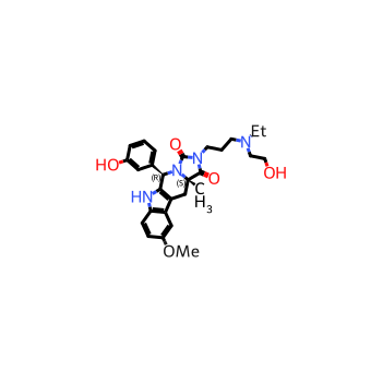 CCN(CCO)CCCN1C(=O)N2[C@H](c3cccc(O)c3)c3[nH]c4ccc(OC)cc4c3C[C@@]2(C)C1=O